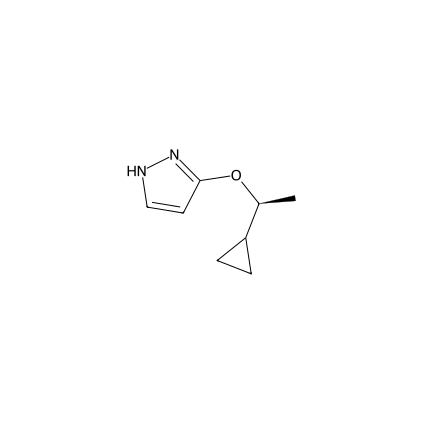 C[C@H](Oc1cc[nH]n1)C1CC1